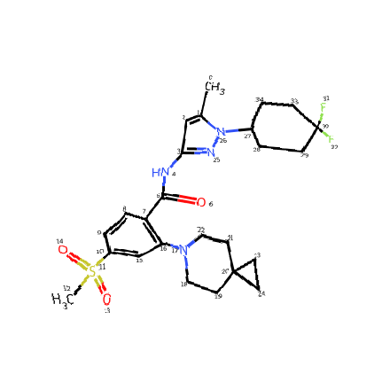 Cc1cc(NC(=O)c2ccc(S(C)(=O)=O)cc2N2CCC3(CC2)CC3)nn1C1CCC(F)(F)CC1